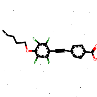 CCCCCOc1c(F)c(F)c(C#Cc2ccc(C(=O)O)cc2)c(F)c1F